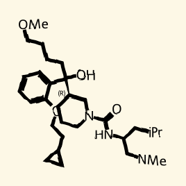 CNCC(CC(C)C)NC(=O)N1CCC[C@@H](C(O)(CCCCOC)c2ccccc2OCCC2CC2)C1